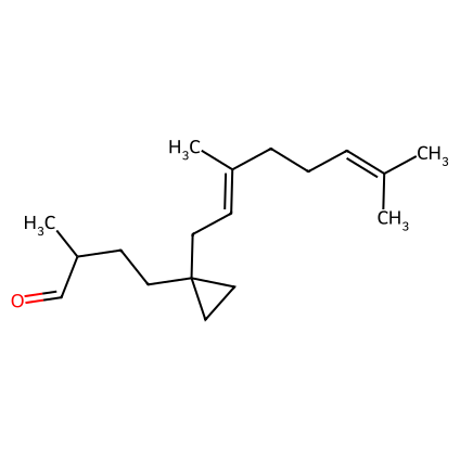 CC(C)=CCC/C(C)=C/CC1(CCC(C)C=O)CC1